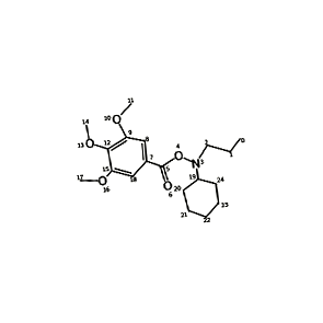 CCCN(OC(=O)c1cc(OC)c(OC)c(OC)c1)C1CCCCC1